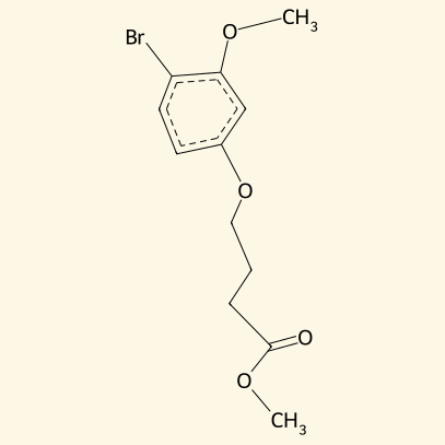 COC(=O)CCCOc1ccc(Br)c(OC)c1